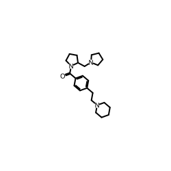 O=C(c1ccc(CCN2CCCCC2)cc1)N1CCCC1CN1CCCC1